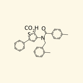 Cc1ccc(C(=O)N(Cc2ccccc2C)c2cc(-c3ccccc3)sc2C(=O)O)cc1